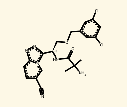 CC(C)(N)C(=O)N[C@H](COCc1cc(Cl)cc(Cl)c1)c1nnc2ccc(C#N)cn12